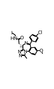 COc1ccc2c(c1)C(c1ccc(Cl)cc1)=N[C@@H](CC(=O)NCI)c1nnc(C)n1-2